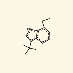 CCc1cccc2c(C(C)(C)C)c[nH]c12